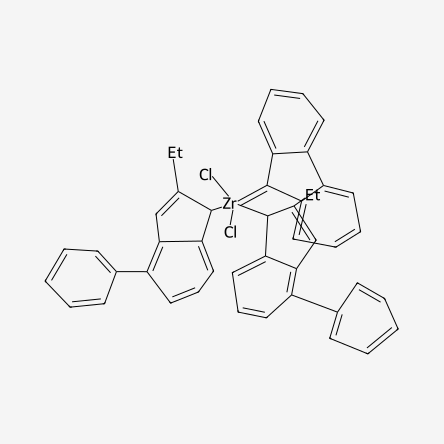 CCC1=Cc2c(-c3ccccc3)cccc2[CH]1[Zr]([Cl])([Cl])(=[C]1c2ccccc2-c2ccccc21)[CH]1C(CC)=Cc2c(-c3ccccc3)cccc21